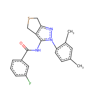 Cc1ccc(-n2nc3c(c2NC(=O)c2cccc(F)c2)CSC3)c(C)c1